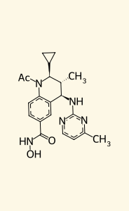 CC(=O)N1c2ccc(C(=O)NO)cc2[C@H](Nc2nccc(C)n2)[C@@H](C)[C@@H]1C1CC1